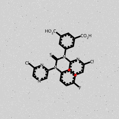 O=C(O)c1cc(C(=O)O)cc(N(C(=S)N(c2ccc(F)cc2)c2cncc(Cl)n2)c2cncc(Cl)n2)c1